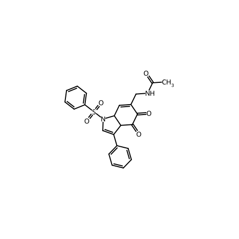 CC(=O)NCC1=CC2C(C(=O)C1=O)C(c1ccccc1)=CN2S(=O)(=O)c1ccccc1